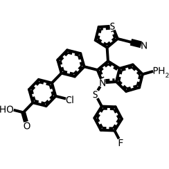 N#Cc1sccc1-c1c(-c2cccc(-c3ccc(C(=O)O)cc3Cl)c2)n(Sc2ccc(F)cc2)c2ccc(P)cc12